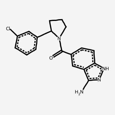 Nc1n[nH]c2ccc(C(=O)N3CCCC3c3cccc(Cl)c3)cc12